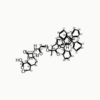 CC(Cc1csc(NC(c2ccccc2)(c2ccccc2)c2ccccc2)n1)(O/N=C\C(=O)N[C@@H]1C(=O)N2C(C(=O)O)=C(CCl)CS[C@H]12)C(=O)OC(c1ccccc1)c1ccccc1